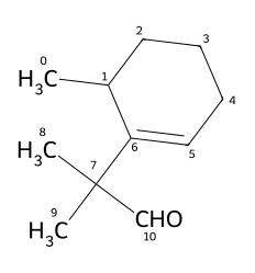 CC1CCCC=C1C(C)(C)C=O